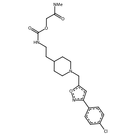 CNC(=O)COC(=O)NCCC1CCN(Cc2cc(-c3ccc(Cl)cc3)no2)CC1